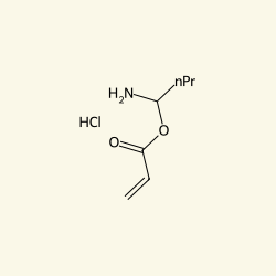 C=CC(=O)OC(N)CCC.Cl